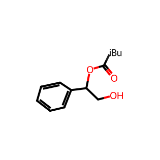 CCC(C)C(=O)OC(CO)c1ccccc1